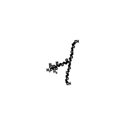 C#CCOCCOCCOCCN(CCOCCOCCOCC#C)C(=O)CCOCCNC(=O)OC(C)(C)C